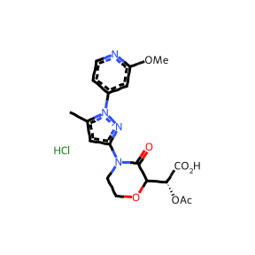 COc1cc(-n2nc(N3CCOC([C@@H](OC(C)=O)C(=O)O)C3=O)cc2C)ccn1.Cl